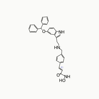 O=C(/C=C/c1ccc(CNCCc2c[nH]c3ccc(OC(c4ccccc4)c4ccccc4)cc23)cc1)NO